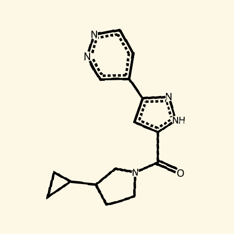 O=C(c1cc(-c2ccnnc2)n[nH]1)N1CCC(C2CC2)C1